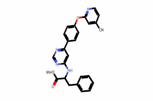 COC(=O)C(Cc1ccccc1)Nc1cc(-c2ccc(Oc3cc(C#N)ccn3)cc2)ncn1